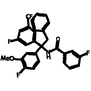 COc1cc(C(Cc2ccccc2)(NC(=O)c2cccc(F)c2)c2cc(F)cc(C(F)(F)F)c2)ccc1F